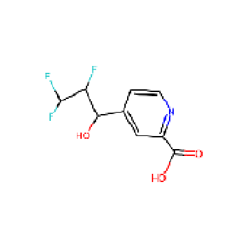 O=C(O)c1cc(C(O)C(F)C(F)F)ccn1